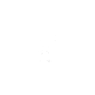 C[C@H](N)C(=O)NC1CCCCCCCC1